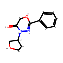 O=C1COC(c2ccccc2)=NN1C1CCOC1